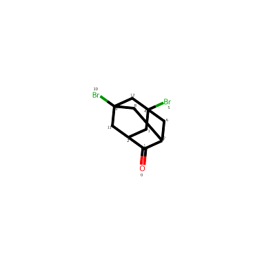 O=C1C2CC3(Br)CC1CC(Br)(C2)C3